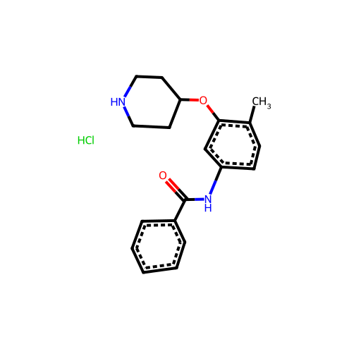 Cc1ccc(NC(=O)c2ccccc2)cc1OC1CCNCC1.Cl